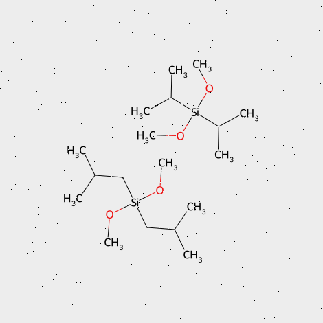 CO[Si](CC(C)C)(CC(C)C)OC.CO[Si](OC)(C(C)C)C(C)C